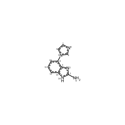 Nc1nc2c(-n3ccnc3)cccc2[nH]1